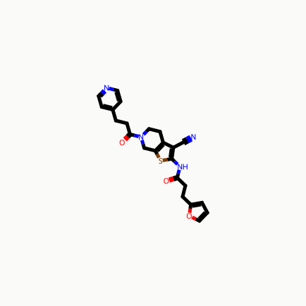 N#Cc1c(NC(=O)CCc2ccco2)sc2c1CCN(C(=O)CCc1ccncc1)C2